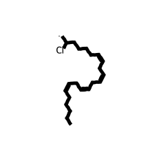 [CH2]C(Cl)CCCC/C=C\C/C=C\C/C=C\C/C=C\CCCCC